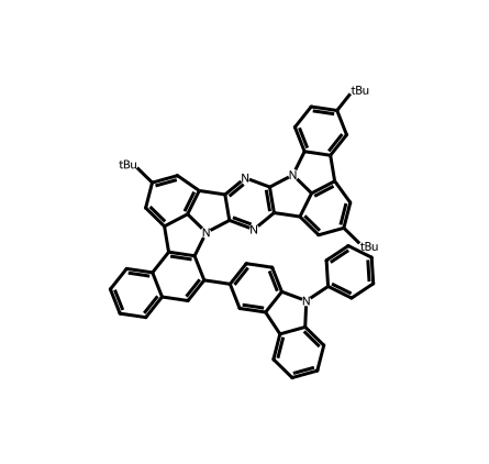 CC(C)(C)c1ccc2c(c1)c1cc(C(C)(C)C)cc3c4nc5c(nc4n2c13)c1cc(C(C)(C)C)cc2c3c4ccccc4cc(-c4ccc6c(c4)c4ccccc4n6-c4ccccc4)c3n5c12